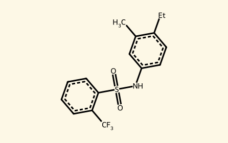 CCc1ccc(NS(=O)(=O)c2ccccc2C(F)(F)F)cc1C